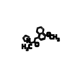 COc1ccc(CC(=O)C(C)N2CCCC2)c2c1CCCC2